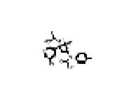 O=C1Nc2ncc(Cl)cc2C(CCN(C(=O)O)c2ccc(F)cc2)(C(F)(F)F)O1